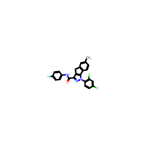 Cc1ccc2c(c1)Cc1c(C(=O)Nc3ccc(F)cc3)nn(-c3ccc(Cl)cc3Cl)c1-2